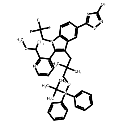 COC(C)c1ncccc1-c1c(CC(C)(C)CO[Si](c2ccccc2)(c2ccccc2)C(C)(C)C)c2cc(-c3nc(O)ns3)ccc2n1CC(F)(F)F